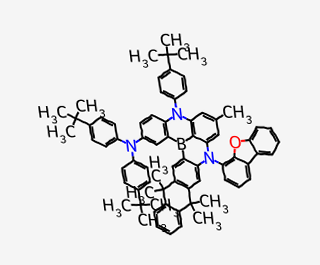 Cc1cc2c3c(c1)N(c1cccc4c1oc1ccccc14)c1cc4c(cc1B3c1cc(N(c3ccc(C(C)(C)C)cc3)c3ccc(C(C)(C)C)cc3)ccc1N2c1ccc(C(C)(C)C)cc1)C(C)(C)c1ccccc1C4(C)C